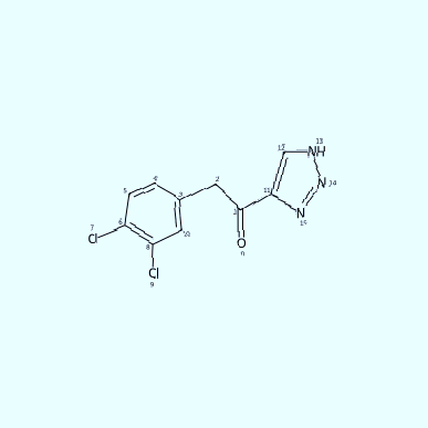 O=C(Cc1ccc(Cl)c(Cl)c1)c1c[nH]nn1